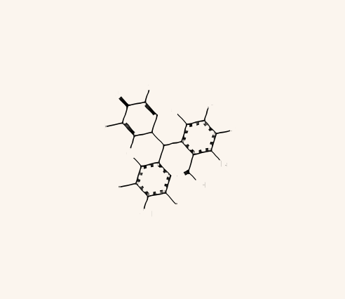 O=C1C(Cl)=CC2C(=C1I)Oc1c(cc(I)c(O)c1I)C2c1c(Br)c(Br)c(Br)c(Br)c1C(=O)O